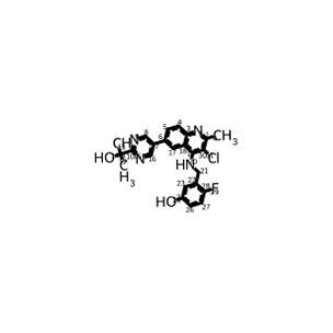 Cc1nc2ccc(-c3cnc(C(C)(C)O)nc3)cc2c(NCc2cc(O)ccc2F)c1Cl